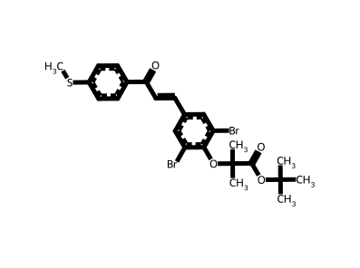 CSc1ccc(C(=O)/C=C/c2cc(Br)c(OC(C)(C)C(=O)OC(C)(C)C)c(Br)c2)cc1